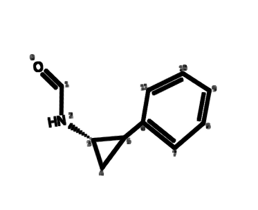 O=CN[C@H]1CC1c1ccccc1